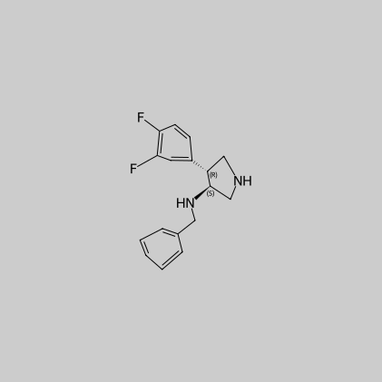 Fc1ccc([C@@H]2CNC[C@H]2NCc2ccccc2)cc1F